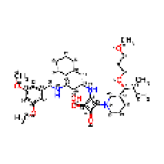 COCCCO[C@@H](C(C)C)C1CCCN(c2c(N[C@@H](CC3CCCCC3)[C@H](O)CNCc3cc(OC)cc(OC)c3)c(=O)c2=O)C1